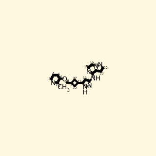 Cc1ncccc1OCC1CC(c2cc(Nc3nccn4nccc34)n[nH]2)C1